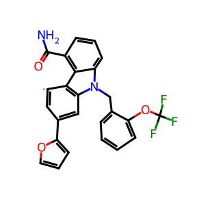 NC(=O)c1cccc2c1c1[c]cc(-c3ccco3)cc1n2Cc1ccccc1OC(F)(F)F